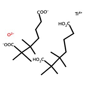 CC(C)(CCCC(=O)O)C(C)(C)C(=O)O.CC(C)(CCCC(=O)[O-])C(C)(C)C(=O)[O-].[O-2].[Ti+4]